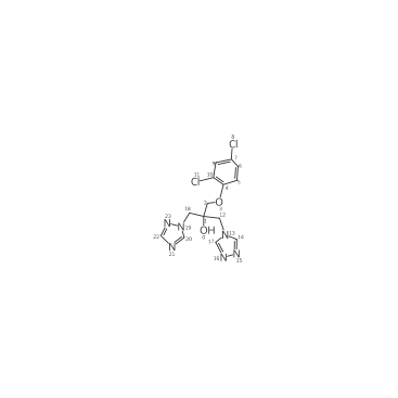 OC(COc1ccc(Cl)cc1Cl)(Cn1cnnc1)Cn1cncn1